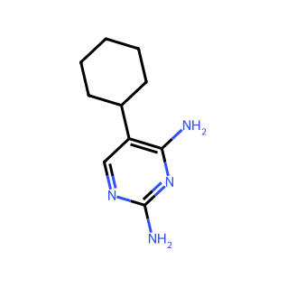 Nc1ncc(C2CCCCC2)c(N)n1